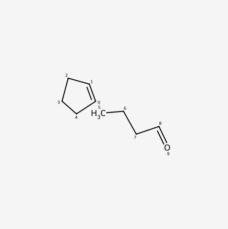 C1=CCCC1.CCCC=O